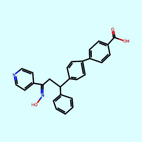 O=C(O)c1ccc(-c2ccc(C(CC(=NO)c3ccncc3)c3ccccc3)cc2)cc1